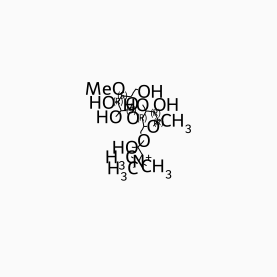 CO[C@@H]1C(CO)O[C@@H](O[C@H]2C(COC(O)C[N+](C)(C)C)O[C@H](C)[C@H](O)C2O)C(O)[C@H]1O